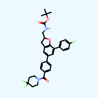 CC(C)(C)OC(=O)NCC1Cc2cc(-c3ccc(C(=O)N4CCC(F)(F)CC4)cc3)cc(-c3ccc(F)cc3)c2O1